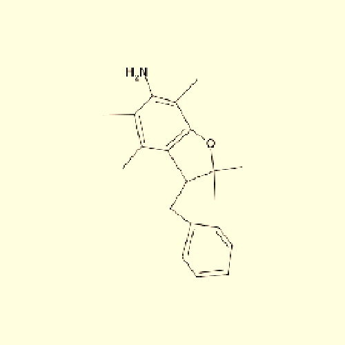 Cc1c(C)c2c(c(C)c1N)OC(C)(C)C2Cc1ccccc1